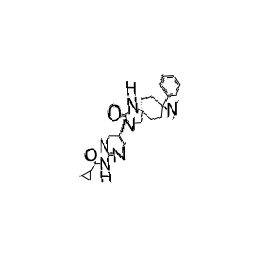 CN(C)[C@]1(c2ccccc2)CC[C@]2(CC1)CN(C1C=NC(NC(=O)C3CC3)=NC1)C(=O)N2